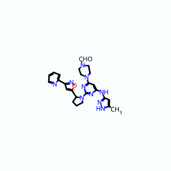 Cc1cc(Nc2cc(N3CCN(C=O)CC3)nc(N3CCCC3c3cc(-c4ccccn4)no3)n2)n[nH]1